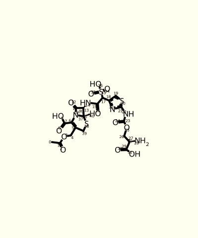 CC(=O)OCC1=C(C(=O)O)N2C(=O)[C@@H](NC(=O)C(c3csc(NC(=O)OC[C@@H](N)C(=O)O)n3)S(=O)(=O)O)[C@@H]2SC1